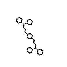 C(=Cc1ccc(C=CC=C(c2ccccc2)c2ccccc2)cc1)C=C(c1ccccc1)c1ccccc1